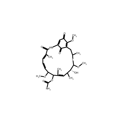 COC1=C2CC(C)CC(OC)[C@H](O)C(C)/C=C(\C)C(OC(N)=O)C(OC)/C=C\C=C(/C)C(=O)NC(=CC1=O)C2=O